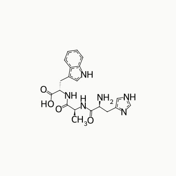 C[C@H](NC(=O)[C@@H](N)Cc1c[nH]cn1)C(=O)N[C@@H](Cc1c[nH]c2ccccc12)C(=O)O